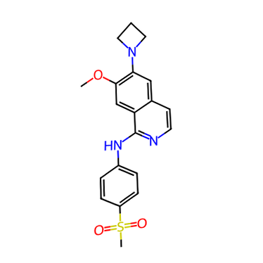 COc1cc2c(Nc3ccc(S(C)(=O)=O)cc3)nccc2cc1N1CCC1